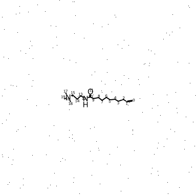 C=CCCCCCCCCC(=O)NCCC[N+](C)(C)C